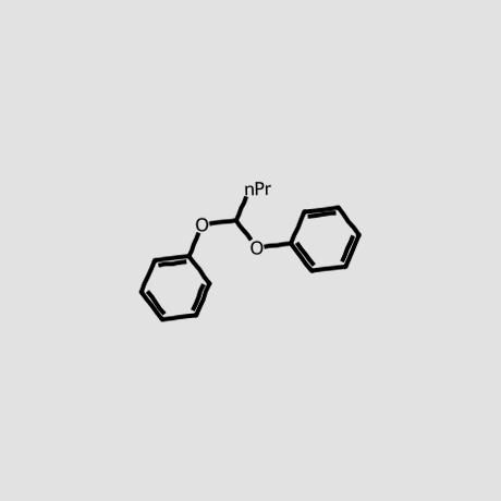 C[CH]CC(Oc1ccccc1)Oc1ccccc1